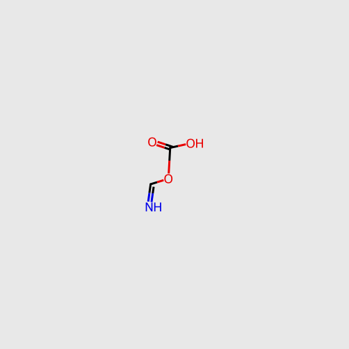 N=COC(=O)O